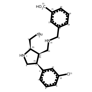 CC(C)(C)C[C@@H]1NC[C@H](c2cccc(Cl)c2)[C@@H]1CNCc1cccc(C(=O)O)c1